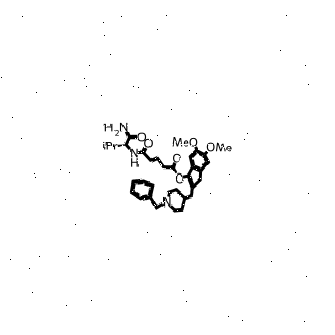 COc1cc2c(cc1OC)C(OC(=O)CCCC(=O)N[C@H](C(N)=O)C(C)C)=C(CC1CCN(Cc3ccccc3)CC1)C2